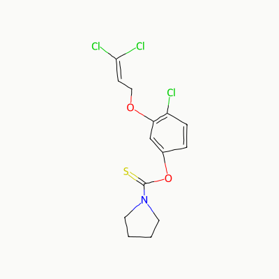 S=C(Oc1ccc(Cl)c(OCC=C(Cl)Cl)c1)N1CCCC1